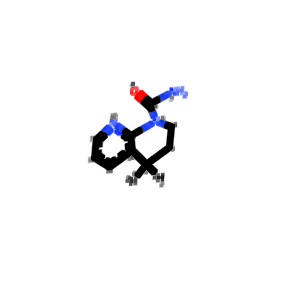 [2H]C1([2H])CCN(C(N)=O)c2ncccc21